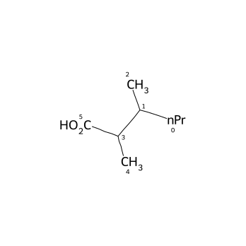 CCCC(C)C(C)C(=O)O